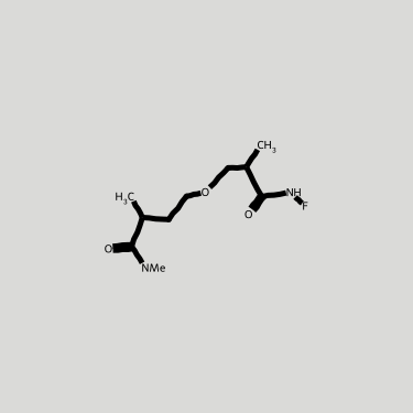 CNC(=O)C(C)CCOCC(C)C(=O)NF